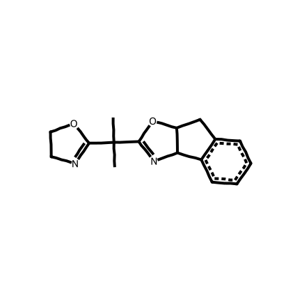 CC(C)(C1=NCCO1)C1=NC2c3ccccc3CC2O1